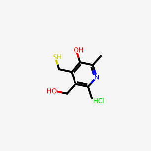 Cc1nc(C)c(CO)c(CS)c1O.Cl